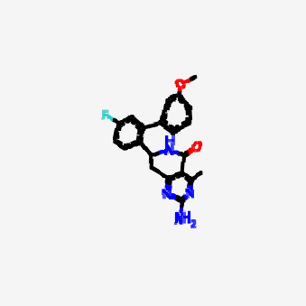 COc1cccc(-c2cc(F)ccc2C2Cc3nc(N)nc(C)c3C(=O)N2)c1